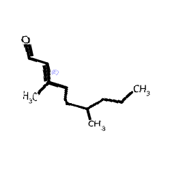 CCCC(C)CC/C(C)=C/C=O